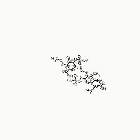 CC[C@H]1OC(COS(=O)(=O)O)[C@@H](COC[C@@H]2OC(C(=O)O)[C@@H](COC)[C@@H](C)C2OS(=O)(=O)O)[C@@H](C)C1NS(=O)(=O)O